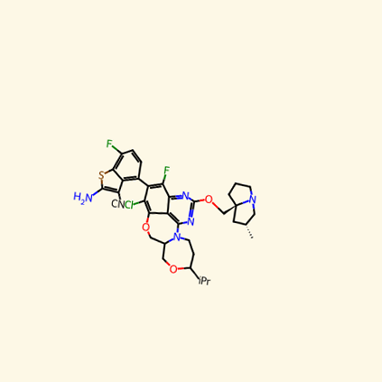 CC(C)C1CCN2c3nc(OC[C@@]45CCCN4C[C@H](C)C5)nc4c(F)c(-c5ccc(F)c6sc(N)c(C#N)c56)c(Cl)c(c34)OCC2CO1